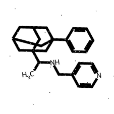 CC(NCc1ccncc1)C12CC3CC(CC(c4ccccc4)(C3)C1)C2